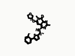 [CH2]c1ccccc1-c1ccc([C@@H](C)Nc2nc(C)nc3c(=O)n(C)c(O[C@H]4CCOC4)cc23)s1